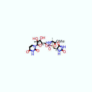 COC(=O)[C@@H](C)N[P@@](=O)(OC[C@H]1O[C@@H](n2ccc(=O)[nH]c2=O)[C@](C)(O)[C@@H]1O)SC[C@@H]1NC(=O)NC1=O